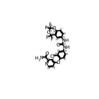 NC(=O)c1cc(Oc2ccc(NC(=O)Nc3ccc4c(c3)C(F)(F)OC(F)(F)O4)cc2Cl)ccn1